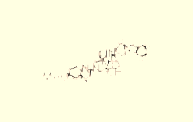 COc1ccc2nc(N3C[C@@H](C)N(C(=O)NC4CCN(Cc5ccccc5)CC4)[C@@H](C)C3)cnc2c1